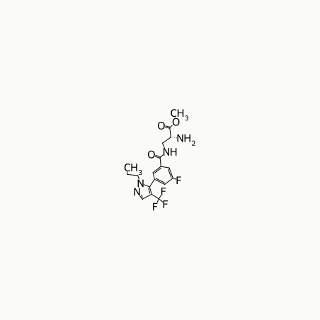 CCCn1ncc(C(F)(F)F)c1-c1cc(F)cc(C(=O)NC[C@@H](N)C(=O)OC)c1